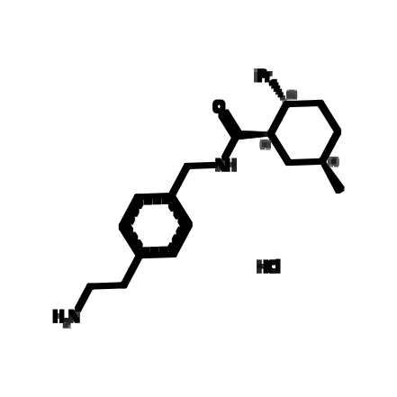 CC(C)[C@@H]1CC[C@@H](C)C[C@H]1C(=O)NCc1ccc(CCN)cc1.Cl